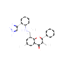 Cc1cc([C@@H](C)Nc2ccccc2-c2c[nH]nn2)c2oc(-c3ccccc3)c(C)c(=O)c2c1